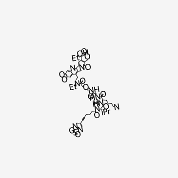 CCN(CCc1c2c(nc3cc4c(cc13)OCO4)-c1cc3c(c(=O)n1C2)COC(=O)[C@]3(O)CC)C(=O)COCNC(=O)CNC(=O)C(CCCCN(C)C)NC(=O)C(NC(=O)CCCC#Cc1cnc(S(C)(=O)=O)nc1)C(C)C